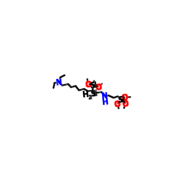 CCN(CC)CCCCCCCC([SiH2]CNCCC[Si](OC)(OC)OC)[Si](C)(OC)OC